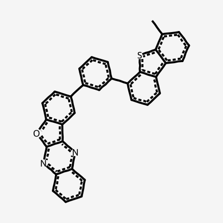 Cc1cccc2c1sc1c(-c3cccc(-c4ccc5oc6nc7ccccc7nc6c5c4)c3)cccc12